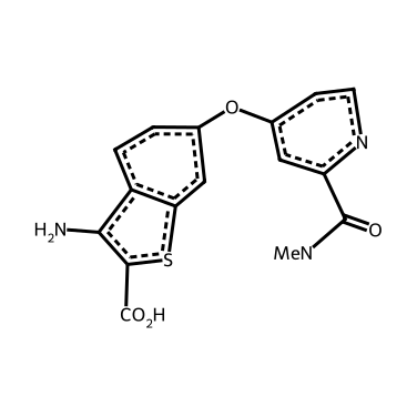 CNC(=O)c1cc(Oc2ccc3c(N)c(C(=O)O)sc3c2)ccn1